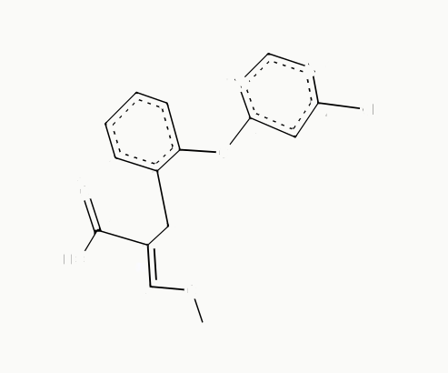 CO/C=C(\Cc1ccccc1Oc1cc(Cl)ncn1)C(=O)O